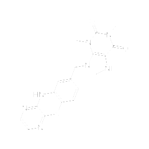 Cn1c2c(c(=O)n(C)c1=O)NCN2Cc1ccc2c(c1)Nc1nccnc1S2